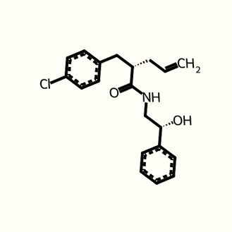 C=CC[C@@H](Cc1ccc(Cl)cc1)C(=O)NC[C@H](O)c1ccccc1